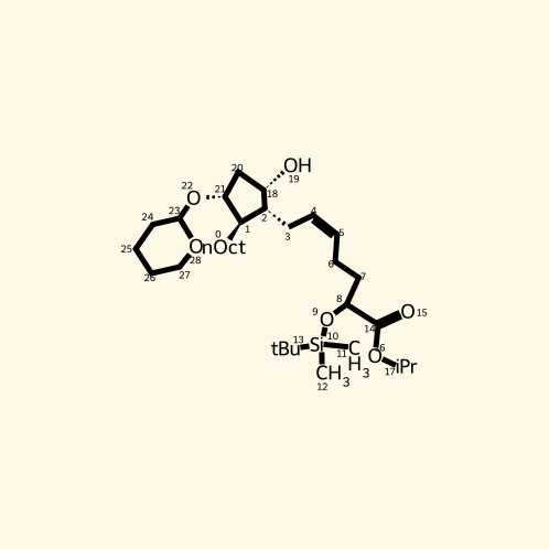 CCCCCCCC[C@@H]1[C@@H](C/C=C\CCC(O[Si](C)(C)C(C)(C)C)C(=O)OC(C)C)[C@@H](O)C[C@H]1OC1CCCCO1